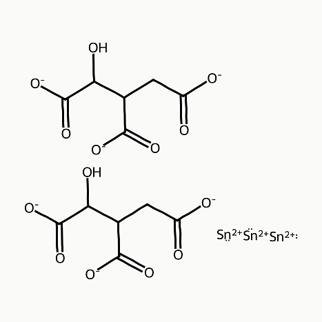 O=C([O-])CC(C(=O)[O-])C(O)C(=O)[O-].O=C([O-])CC(C(=O)[O-])C(O)C(=O)[O-].[Sn+2].[Sn+2].[Sn+2]